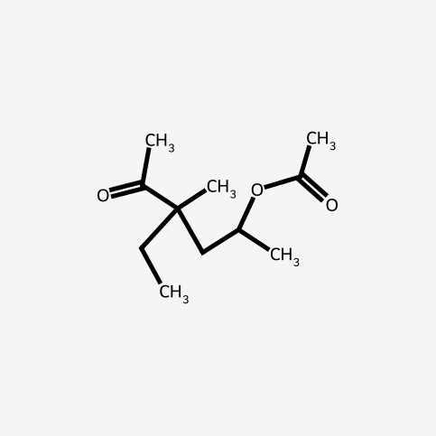 CCC(C)(CC(C)OC(C)=O)C(C)=O